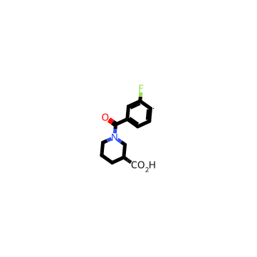 O=C(O)C1CCCN(C(=O)c2cc[c]c(F)c2)C1